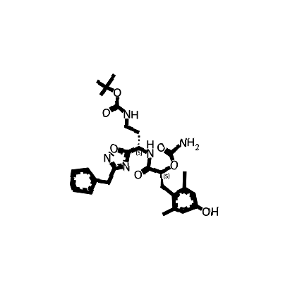 Cc1cc(O)cc(C)c1C[C@H](OC(N)=O)C(=O)N[C@@H](CCNC(=O)OC(C)(C)C)c1nc(Cc2ccccc2)no1